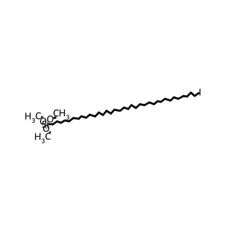 CCO[Si](CCCCCCCCCCCCCCCCCCCCCCCCCCCCCCCCCCCI)(OCC)OCC